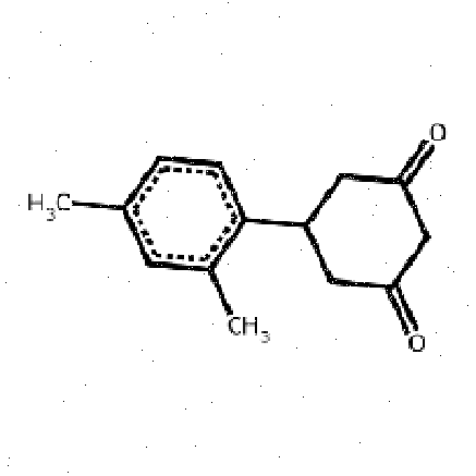 Cc1ccc(C2CC(=O)CC(=O)C2)c(C)c1